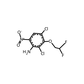 Nc1c([N+](=O)[O-])cc(Cl)c(OCC(F)F)c1Cl